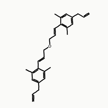 C=CCc1cc(C)c(C=CCOCC=Cc2c(C)cc(CC=C)cc2C)c(C)c1